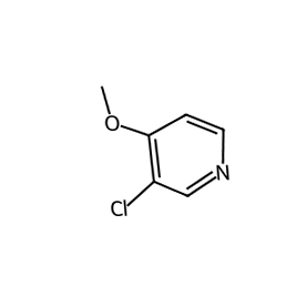 COc1ccncc1Cl